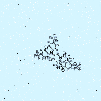 CC(C)(C)OC(=O)N1CC(/C=N\S(=O)(=O)c2ccc(OC(F)(F)F)cc2)[C@H](O)[C@@H](N2c3ccc(C(F)(F)F)cc3Oc3cc(C(F)(F)F)ccc32)C1